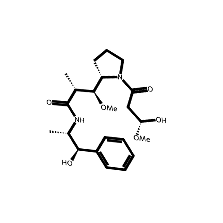 CO[C@@H]([C@@H](C)C(=O)N[C@@H](C)[C@H](O)c1ccccc1)[C@@H]1CCCN1C(=O)C[C@H](O)OC